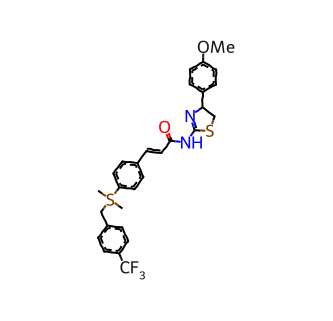 COc1ccc(C2CSC(NC(=O)/C=C/c3ccc(S(C)(C)Cc4ccc(C(F)(F)F)cc4)cc3)=N2)cc1